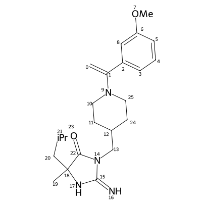 C=C(c1cccc(OC)c1)N1CCC(CN2C(=N)NC(C)(CC(C)C)C2=O)CC1